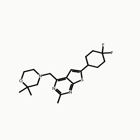 Cc1nc(CN2CCOC(C)(C)C2)c2cc(C3CCC(F)(F)CC3)sc2n1